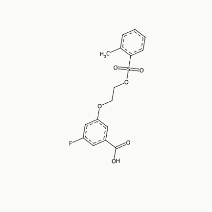 Cc1ccccc1S(=O)(=O)OCCOc1cc(F)cc(C(=O)O)c1